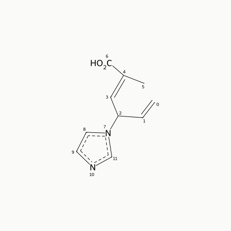 C=CC(C=C(C)C(=O)O)n1ccnc1